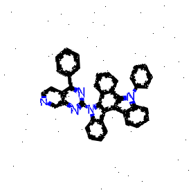 c1ccc(-c2nc(-n3c4ccccc4c4c5c6ccccc6n(-c6ccccc6)c5c5ccccc5c43)nc3cnccc23)cc1